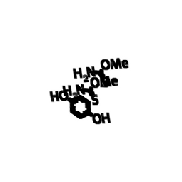 COC(N)=S.COC(N)=S.Oc1ccc(O)cc1